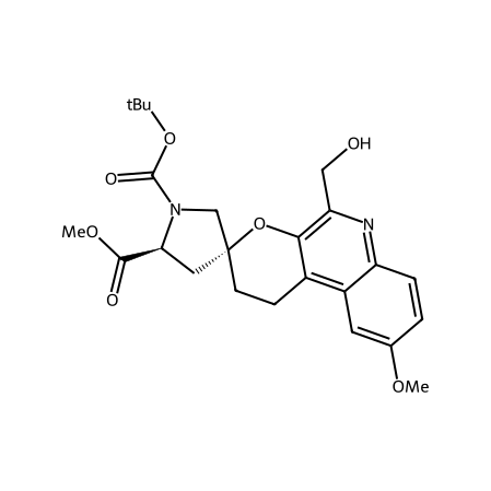 COC(=O)[C@@H]1C[C@]2(CCc3c(c(CO)nc4ccc(OC)cc34)O2)CN1C(=O)OC(C)(C)C